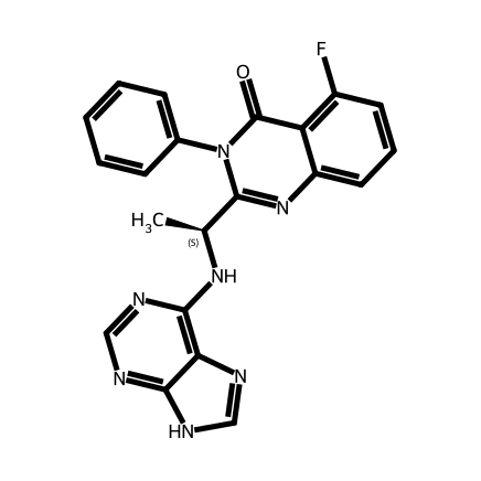 C[C@H](Nc1ncnc2[nH]cnc12)c1nc2cccc(F)c2c(=O)n1-c1ccccc1